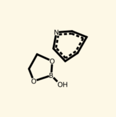 OB1OCCO1.c1ccncc1